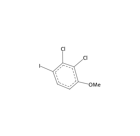 COc1ccc(I)c(Cl)c1Cl